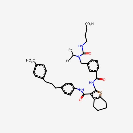 CCC(CC)N(Cc1cccc(C(=O)Nc2sc3c(c2C(=O)Nc2ccc(CCCc4ccc(C(=O)O)cc4)cc2)CCCC3)c1)C(=O)NCCCC(=O)O